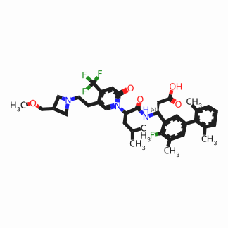 COCC1CN(CCc2cn(C(CC(C)C)C(=O)N[C@@H](CC(=O)O)c3cc(-c4c(C)cccc4C)cc(C)c3F)c(=O)cc2C(F)(F)F)C1